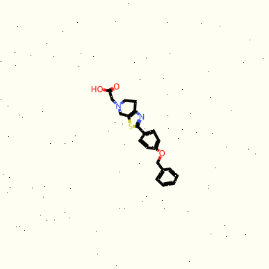 O=C(O)CN1CCc2nc(-c3ccc(OCc4ccccc4)cc3)sc2C1